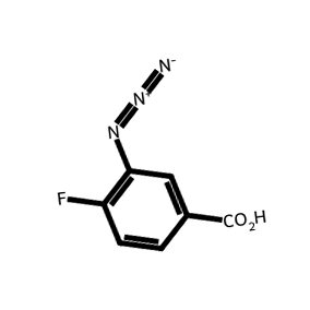 [N-]=[N+]=Nc1cc(C(=O)O)ccc1F